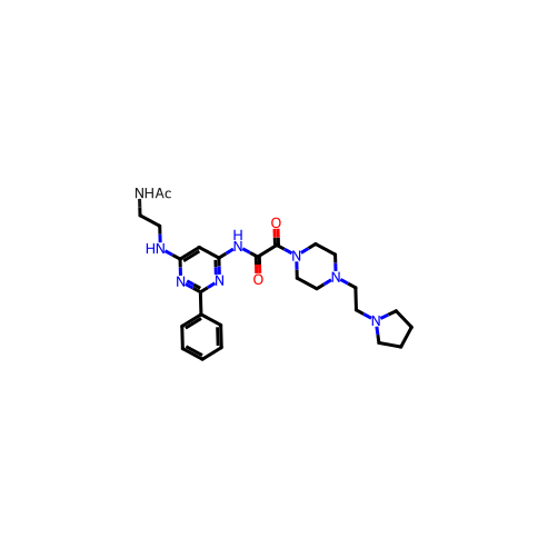 CC(=O)NCCNc1cc(NC(=O)C(=O)N2CCN(CCN3CCCC3)CC2)nc(-c2ccccc2)n1